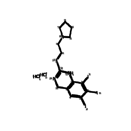 Cl.Cl.Ic1cc2c(c(I)c1I)NC(SCCN1CCCC1)=NC2